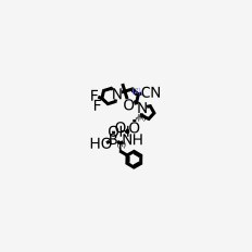 CC(C)(/C=C(/C#N)C(=O)N1CCC[C@@H]1COC(=O)N[C@@H](Cc1ccccc1)B(O)O)N1CCC(F)(F)CC1